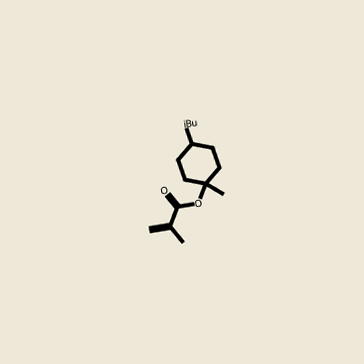 C=C(C)C(=O)OC1(C)CCC(C(C)CC)CC1